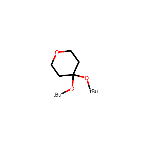 CC(C)(C)OC1(OC(C)(C)C)C[CH]OCC1